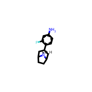 Nc1ccc(C2CC3CCC(C2)N3C(=O)O)c(F)c1